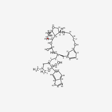 CC(C)CN(C[C@@H](O)[C@@H]1Cc2cccc(c2)OCCCN[C@H]2CO[C@@H]3OC[C@H](OC(=O)N1)[C@@H]32)S(=O)(=O)c1ccc2ncsc2c1